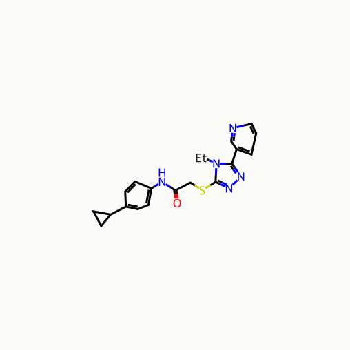 CCn1c(SCC(=O)Nc2ccc(C3CC3)cc2)nnc1-c1cccnc1